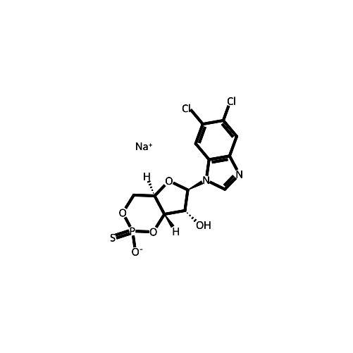 [Na+].[O-]P1(=S)OC[C@H]2O[C@@H](n3cnc4cc(Cl)c(Cl)cc43)[C@H](O)[C@@H]2O1